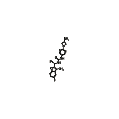 Cc1c(C(NC(=O)Nc2cnc(N3CC(N)C3)nc2)C(C)C)oc2ccc(F)cc12